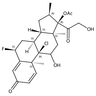 CC(=O)O[C@]1(C(=O)CO)[C@H](C)C[C@H]2[C@@H]3C[C@H](F)C4=CC(=O)C=C[C@]4(C)[C@@]3(Cl)C(O)C[C@@]21C